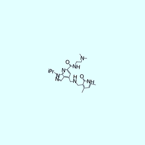 Cc1cc(C)c(CNCc2cc(C(=O)NCCN(C)C)nc3c2cnn3C(C)C)c(=O)[nH]1